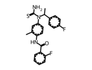 Cc1cc(N(C(N)=S)C(C)c2ccc(F)cc2)ccc1NC(=O)c1ccccc1F